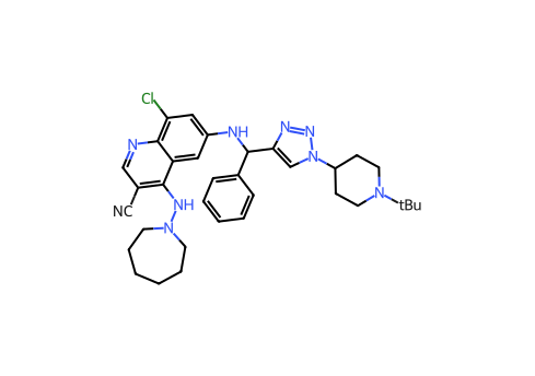 CC(C)(C)N1CCC(n2cc(C(Nc3cc(Cl)c4ncc(C#N)c(NN5CCCCCC5)c4c3)c3ccccc3)nn2)CC1